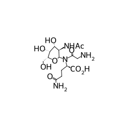 CC(=O)N[C@H]1C(N(C(=O)CN)[C@H](CCC(N)=O)C(=O)O)O[C@H](CO)[C@H](O)[C@@H]1O